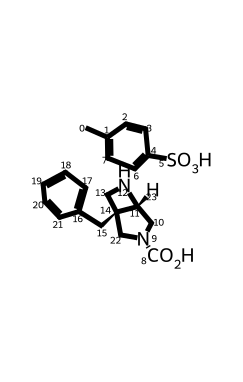 Cc1ccc(S(=O)(=O)O)cc1.O=C(O)N1C[C@H]2NC[C@@]2(Cc2ccccc2)C1